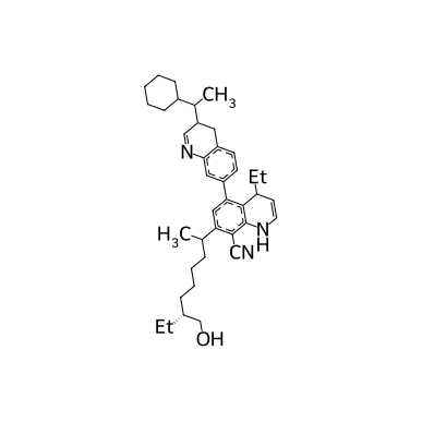 CCC1C=CNc2c(C#N)c(C(C)CCCC[C@@H](CC)CO)cc(-c3ccc4c(c3)N=CC(C(C)C3CCCCC3)C4)c21